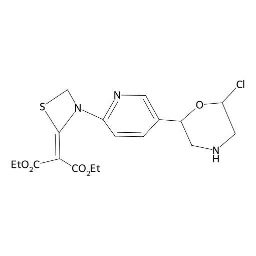 CCOC(=O)C(C(=O)OCC)=C1SCN1c1ccc(C2CNCC(Cl)O2)cn1